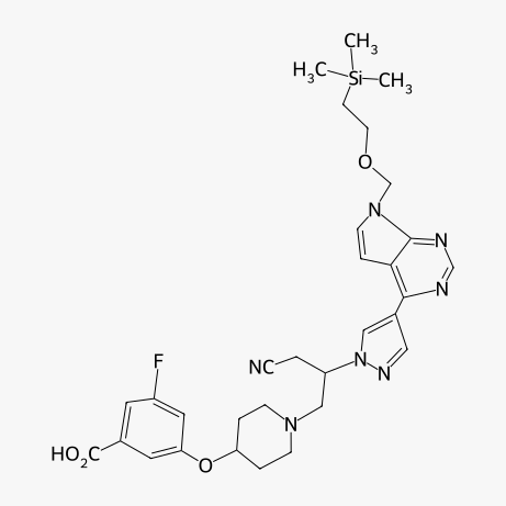 C[Si](C)(C)CCOCn1ccc2c(-c3cnn(C(CC#N)CN4CCC(Oc5cc(F)cc(C(=O)O)c5)CC4)c3)ncnc21